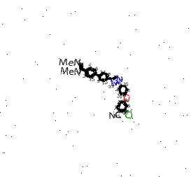 CN/C=C(\NC)c1ccc(-c2ccc(-c3cnc([C@H]4CC[C@H](Oc5ccc(C#N)c(Cl)c5)CC4)n3C)cc2)cc1